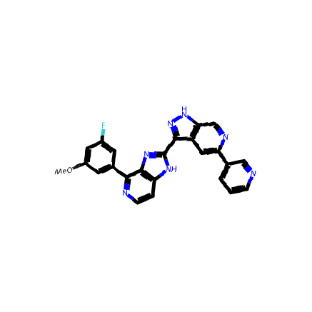 COc1cc(F)cc(-c2nccc3[nH]c(-c4n[nH]c5cnc(-c6cccnc6)cc45)nc23)c1